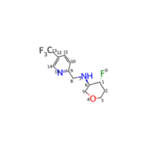 F[C@@H]1CCOC[C@H]1NCc1ccc(C(F)(F)F)cn1